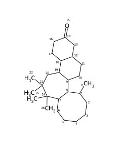 CC1CCCCCC2C1C1CCC3CC(=O)CCC3C1CC(C)(C)C2(C)C